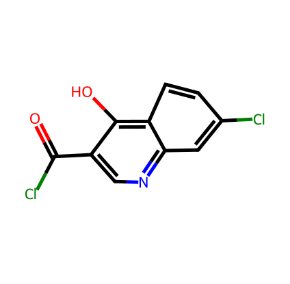 O=C(Cl)c1cnc2cc(Cl)ccc2c1O